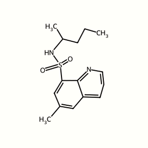 CCCC(C)NS(=O)(=O)c1cc(C)cc2cccnc12